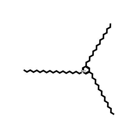 CCCCCCCCCCCCCCCCCC[n+]1cc(CCCCCCCCCCCCCCC)cc(CCCCCCCCCCCCCCC)c1